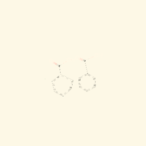 Br.O=C(O)c1ccccc1.O=C(O)c1ccccc1.[Cu]